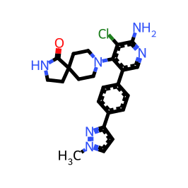 Cn1ccc(-c2ccc(-c3cnc(N)c(Cl)c3N3CCC4(CCNC4=O)CC3)cc2)n1